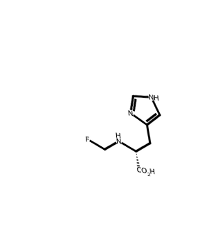 O=C(O)[C@@H](Cc1c[nH]cn1)NCF